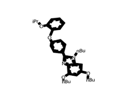 CCCCOc1cc(OCCCC)c2nc(-c3ccc(Oc4ccccc4OC(C)C)cc3)n(CCCC)c2c1